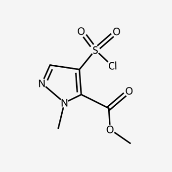 COC(=O)c1c(S(=O)(=O)Cl)cnn1C